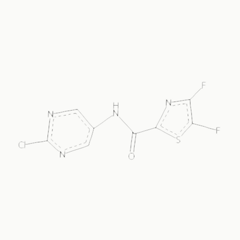 O=C(Nc1cnc(Cl)nc1)c1nc(F)c(F)s1